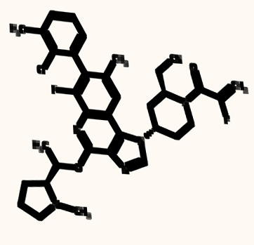 C=C(F)C(=O)N1CC[C@H](n2cnc3c(OC(C)[C@@H]4CCCN4C)nc4c(F)c(-c5cccc(C)c5Cl)c(C)cc4c32)C[C@H]1CC#N